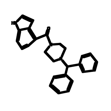 O=C(c1cccc2[nH]ccc12)N1CCN(C(c2ccccc2)c2ccccc2)CC1